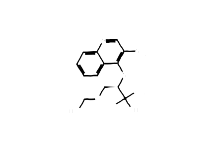 CCOC[C@@H](Nc1c(N)cnc2ccccc12)C(C)(C)C